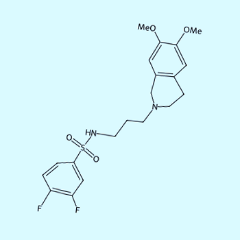 COc1cc2c(cc1OC)CN(CCCNS(=O)(=O)c1ccc(F)c(F)c1)CC2